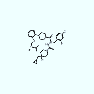 CC[C@H](COc1cccnc1C1CCN(C(=O)[C@@H](Cc2ccc(Cl)cc2Cl)NC(=O)N2CCC(CC)(CC3CC3)CC2)CC1)N(C)C